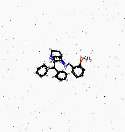 COc1ccccc1CN=C1C2CCN(CC2)C1C(c1ccccc1)c1ccccc1